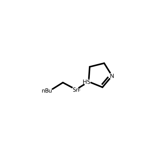 CCCC[CH2][Sn][SH]1C=NCC1